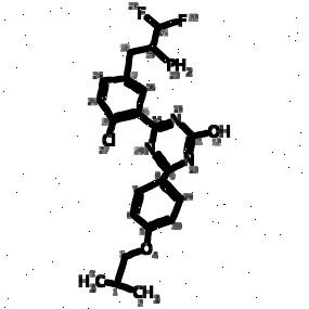 CC(C)COc1ccc(-c2nc(O)nc(-c3cc(CC(P)C(F)F)ccc3Cl)n2)cc1